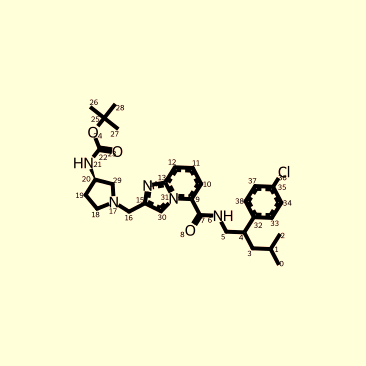 CC(C)CC(CNC(=O)c1cccc2nc(CN3CC[C@@H](NC(=O)OC(C)(C)C)C3)cn12)c1ccc(Cl)cc1